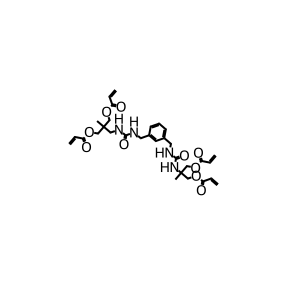 C=CC(=O)OCC(C)(CNC(=O)NCc1cccc(CNC(=O)NC(C)(COC(=O)C=C)COC(=O)C=C)c1)COC(=O)C=C